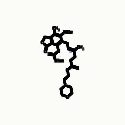 CCCCCCC(=S)Oc1c(C/C=C(\C)CCC(=O)OCCN2CCOCC2)c(OC)c(C)c2c1C(=O)OC2